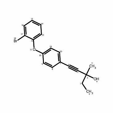 CCC(C)(O)C#Cc1ccc(Oc2ccccc2Br)cc1